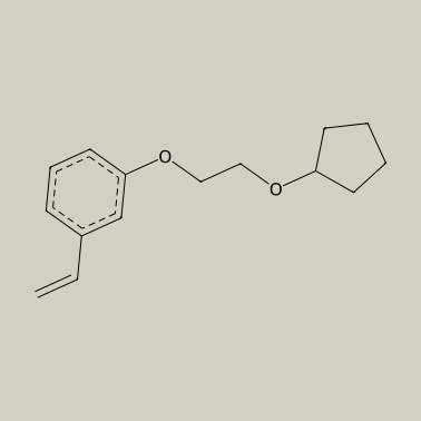 C=Cc1cccc(OCCOC2CCCC2)c1